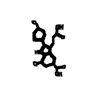 O=C(O)CCc1c(-c2ccc(Cl)cc2)[nH]c2c(Cl)cc(C(=O)O)cc12